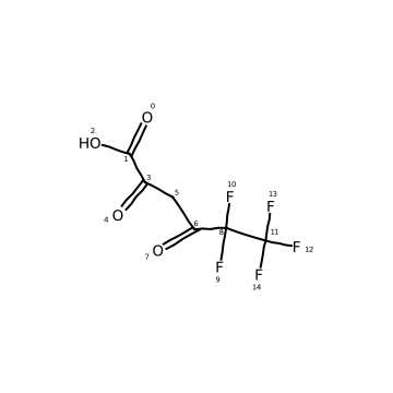 O=C(O)C(=O)CC(=O)C(F)(F)C(F)(F)F